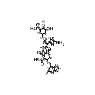 Cc1cc(SCC2=C(C(=O)O)N3C(=O)[C@@H](NC(=O)C(=NOCc4cc(O)c(O)c(C(=O)O)c4)c4csc(N)n4)[C@H]3SC2)n2ncnc2n1